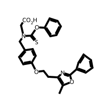 Cc1oc(-c2ccccc2)nc1CCOc1ccc(CN(CC(=O)O)C(=S)Oc2ccccc2)cc1